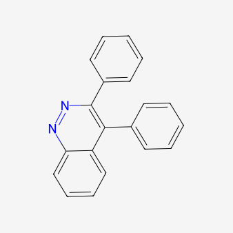 c1ccc(-c2nnc3ccccc3c2-c2ccccc2)cc1